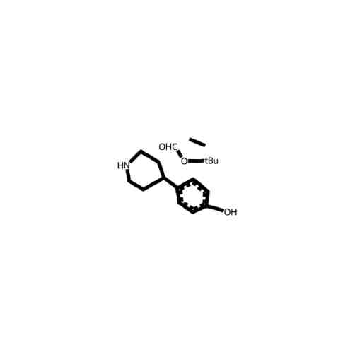 CC.CC(C)(C)OC=O.Oc1ccc(C2CCNCC2)cc1